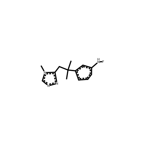 Cn1cnnc1CC(C)(C)c1cccc(NF)c1